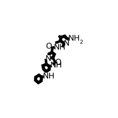 Cc1cc(N)nc(C)c1CNC(=O)c1cc2n(c1)Cc1ccc(Nc3ccccc3)cc1NC2=O